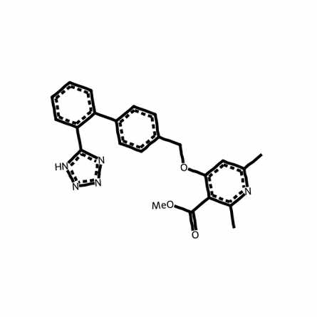 COC(=O)c1c(OCc2ccc(-c3ccccc3-c3nnn[nH]3)cc2)cc(C)nc1C